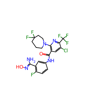 NC(=NO)c1cc(NC(=O)c2cc(Cl)c(C(F)(F)F)nc2N2CCCC(F)(F)CC2)ccc1F